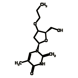 C=C1NC(=O)C(C)=CN1[C@H]1CC(OCCC)[C@@H](CO)O1